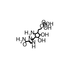 NC(=O)c1c[nH]c(C2C(N)C(CCOP(=O)(O)O)C(O)C2O)n1